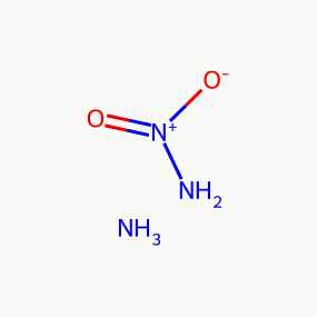 N.N[N+](=O)[O-]